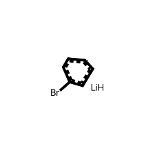 Brc1cc[c]cc1.[LiH]